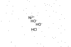 Cl.[Ni+2].[OH-].[OH-]